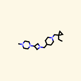 CCC1(CN2CCC(CN3CC(N4CCN(C)CC4)C3)CC2)CC1